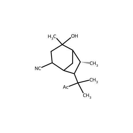 CC(=O)C(C)(C)C1C2CC([C@@H]1C)C(C)(O)CC2C#N